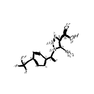 CC(c1ccc(C(F)(F)F)cc1)n1nnc(C(=O)O)c1N